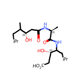 CC(C)CC(C)[C@@H](O)CC(=O)N[C@@H](C)C(=O)NC(CC(C)C)[C@@H](O)CC(=O)O